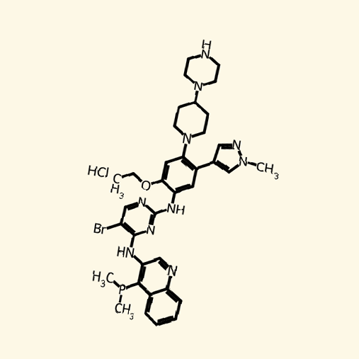 CCOc1cc(N2CCC(N3CCNCC3)CC2)c(-c2cnn(C)c2)cc1Nc1ncc(Br)c(Nc2cnc3ccccc3c2P(C)C)n1.Cl